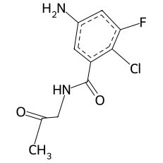 CC(=O)CNC(=O)c1cc(N)cc(F)c1Cl